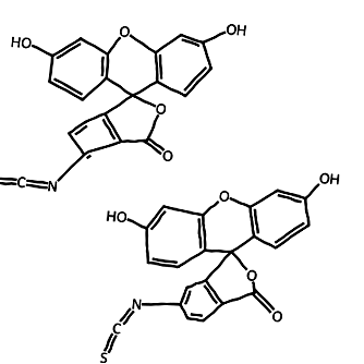 O=C1OC2(c3ccc(O)cc3Oc3cc(O)ccc32)c2cc(N=C=S)ccc21.O=C1OC2(c3ccc(O)cc3Oc3cc(O)ccc32)c2ccc(N=C=S)cc21